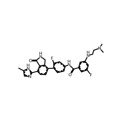 Cc1cnc(-c2ccc(-c3ccc(NC(=O)c4cc(F)cc(NCCN(C)C)c4)cc3F)c3c2C(=O)NC3)[nH]1